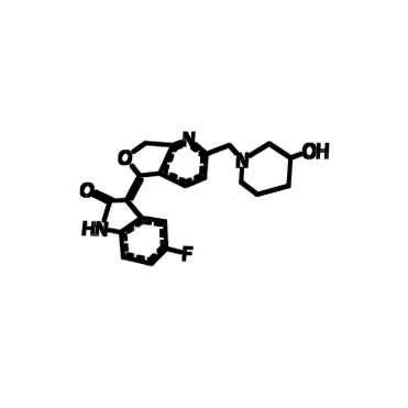 O=C1Nc2ccc(F)cc2/C1=C1/OCc2nc(CN3CCCC(O)C3)ccc21